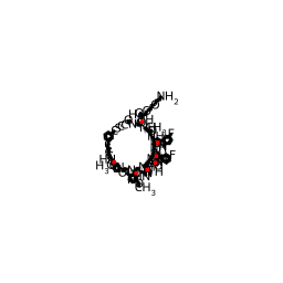 COc1ccc(C[C@@H]2NC(=O)[C@H](Cc3ncc[nH]3)NC(=O)[C@H](CC(=O)O)NC(=O)[C@H](Cc3c[nH]c4ccc(F)cc34)NC(=O)[C@H](Cc3c[nH]c4ccc(F)cc34)NC(=O)[C@@H](C)NC(=O)[C@H](CNC(=O)COCCOCCN)NC(=O)CCSCc3cccc(c3)CSCCNC(=O)[C@]3(C)CCCN3C2=O)cc1